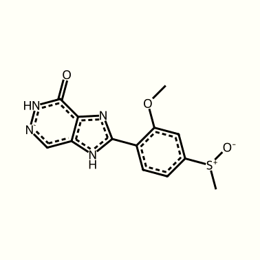 COc1cc([S+](C)[O-])ccc1-c1nc2c(=O)[nH]ncc2[nH]1